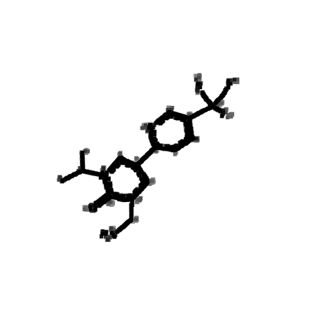 CC(C)n1cc(-c2ccc(C(F)(F)F)cn2)cc(CN)c1=O